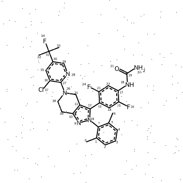 Cc1cccc(C)c1-n1nc2c(c1-c1cc(F)c(NC(N)=O)cc1F)CN(c1ncc(C(C)(C)F)cc1Cl)CC2